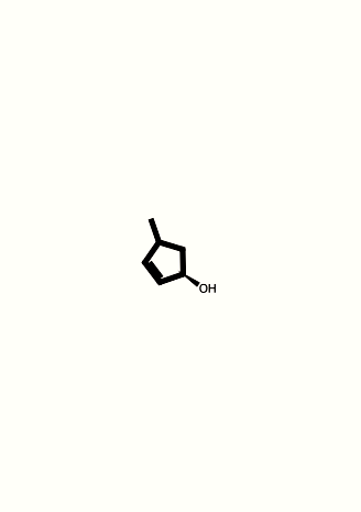 CC1C=C[C@H](O)C1